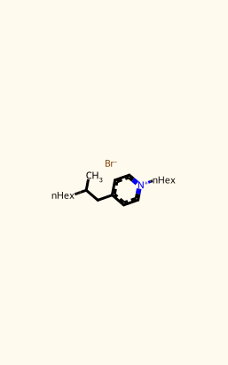 CCCCCCC(C)Cc1cc[n+](CCCCCC)cc1.[Br-]